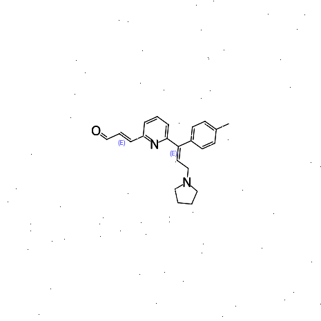 Cc1ccc(/C(=C\CN2CCCC2)c2cccc(/C=C/C=O)n2)cc1